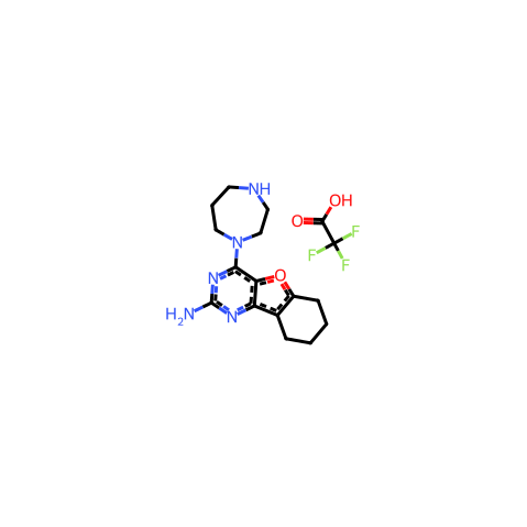 Nc1nc(N2CCCNCC2)c2oc3c(c2n1)CCCC3.O=C(O)C(F)(F)F